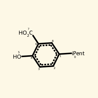 CCCC(C)c1ccc(O)c(C(=O)O)c1